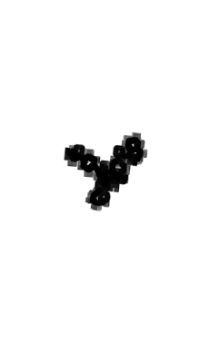 O=C(CC1(c2ccc(-c3ccc(-c4cnco4)cc3)s2)CCN(C(=O)c2nccc3ccccc23)CCS1(=O)=O)NOC1CCCCO1